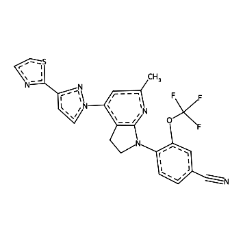 Cc1cc(-n2ccc(-c3nccs3)n2)c2c(n1)N(c1ccc(C#N)cc1OC(F)(F)F)CC2